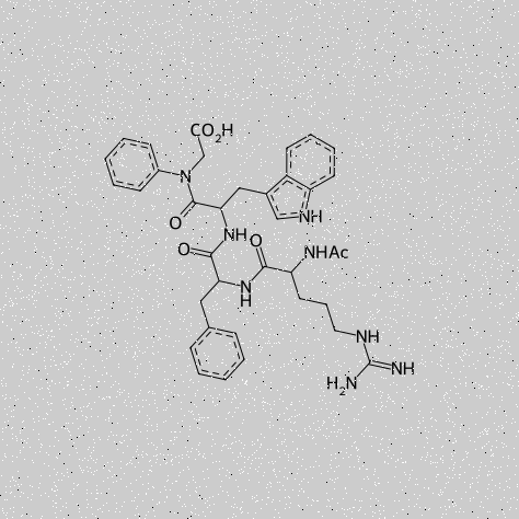 CC(=O)NC(CCCNC(=N)N)C(=O)NC(Cc1ccccc1)C(=O)NC(Cc1c[nH]c2ccccc12)C(=O)N(CC(=O)O)c1ccccc1